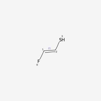 F/C=C/S